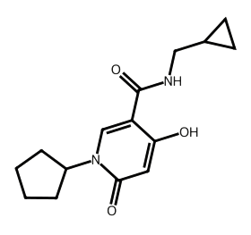 O=C(NCC1CC1)c1cn(C2CCCC2)c(=O)cc1O